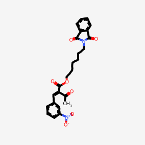 CC(=O)C(=Cc1cccc([N+](=O)[O-])c1)C(=O)OCCCCCCN1C(=O)c2ccccc2C1=O